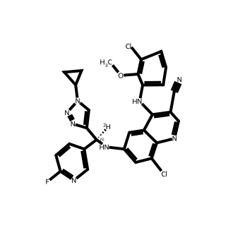 [2H][C@](Nc1cc(Cl)c2ncc(C#N)c(Nc3cccc(Cl)c3OC)c2c1)(c1ccc(F)nc1)c1cn(C2CC2)nn1